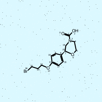 O=C(O)N1CCO[C@@H](c2ccc(OCCCBr)cc2)C1